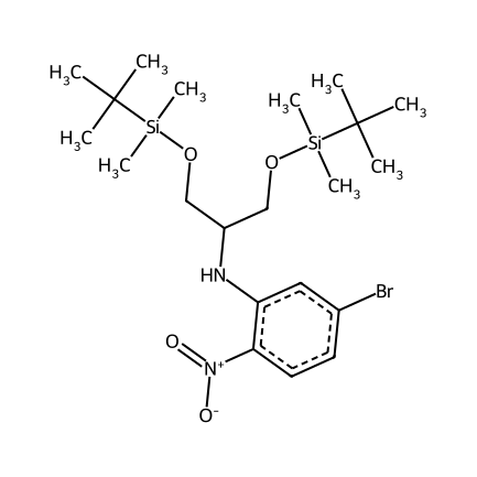 CC(C)(C)[Si](C)(C)OCC(CO[Si](C)(C)C(C)(C)C)Nc1cc(Br)ccc1[N+](=O)[O-]